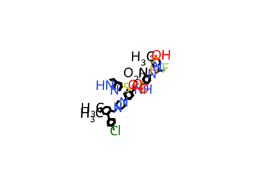 CC1(C)CCC(CN2CCN(c3ccc(C(=O)NS(=O)(=O)c4ccc(NCC(CF)N5CC[PH](C)(O)CC5)c([N+](=O)[O-])c4)c(Sc4cnc5[nH]ccc5c4)c3)CC2)=C(c2ccc(Cl)cc2)C1